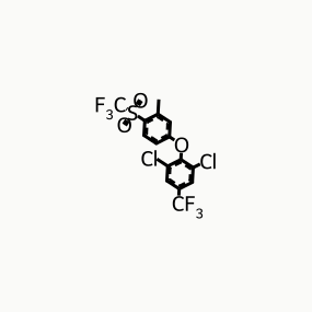 Cc1cc(Oc2c(Cl)cc(C(F)(F)F)cc2Cl)ccc1S(=O)(=O)C(F)(F)F